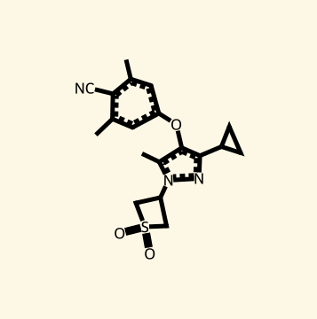 Cc1cc(Oc2c(C3CC3)nn(C3CS(=O)(=O)C3)c2C)cc(C)c1C#N